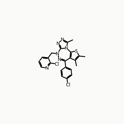 Cc1sc2c(c1C)C(c1ccc(Cl)cc1)=NN(Cc1cccnc1Cl)c1nnc(C)n1-2